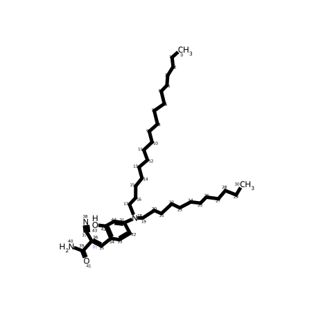 CCCCCCCCCCCCCCCCCCN(CCCCCCCCCCCC)c1ccc(/C=C(\C#N)C(N)=O)c(O)c1